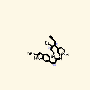 C#C/C=C(C1=CNNCC1)\C(=C/CNC(=C)/C=C\c1ccc2cc(CCC)[nH]c2c1)CC